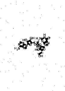 Nc1nc2c(nnn2[C@@H]2O[C@H](CCO)[C@@H](O)[C@H]2OP(=O)(O)OC[C@H]2O[C@@H](n3cnc4c(N)ncnc43)[C@H](O)[C@@H]2O)c(=O)[nH]1